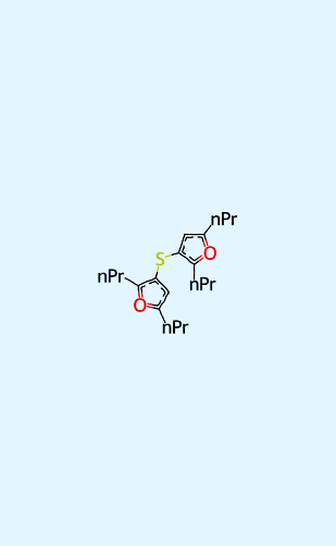 CCCc1cc(Sc2cc(CCC)oc2CCC)c(CCC)o1